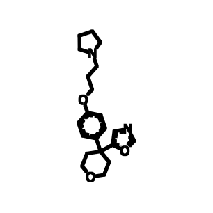 c1ncc(C2(c3ccc(OCCCN4CCCC4)cc3)CCOCC2)o1